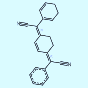 N#C/C(C1=CCCC=C1)=C1C=C/C(=C(/C#N)c2ccccc2)CC\1